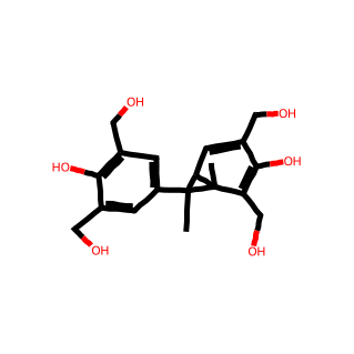 CC12C(CO)=C(O)C(CO)=CC1C2(C)c1cc(CO)c(O)c(CO)c1